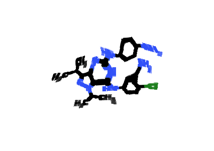 CC(C)c1nn(C(C)C)c2c(Nc3ccc(Cl)c(N)c3)nc(NC3CCC(N)CC3)nc12